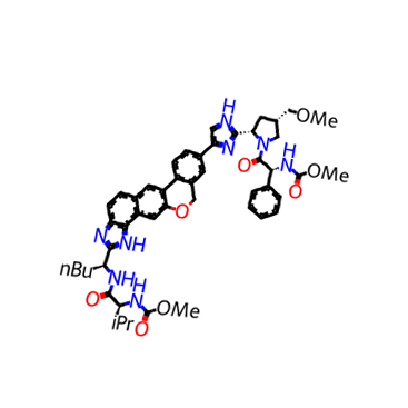 CCCC[C@H](NC(=O)[C@@H](NC(=O)OC)C(C)C)c1nc2ccc3cc4c(cc3c2[nH]1)OCc1cc(-c2c[nH]c([C@@H]3C[C@H](COC)CN3C(=O)[C@H](NC(=O)OC)c3ccccc3)n2)ccc1-4